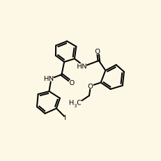 CCOc1ccccc1C(=O)Nc1ccccc1C(=O)Nc1cccc(I)c1